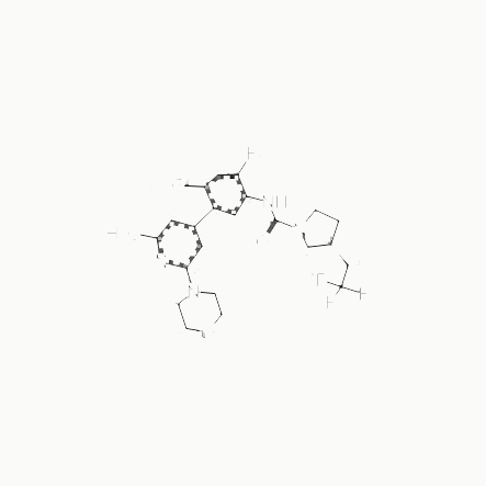 Cc1cc(-c2cc(NC(=O)N3CC[C@@H](CC(F)(F)F)C3)c(F)cc2C)cc(N2CCOCC2)n1